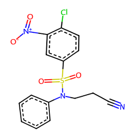 N#CCCN(c1ccccc1)S(=O)(=O)c1ccc(Cl)c([N+](=O)[O-])c1